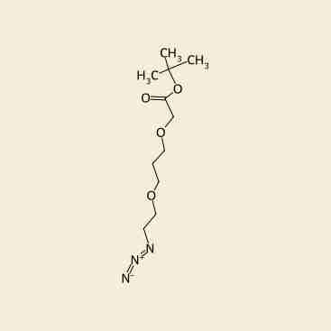 CC(C)(C)OC(=O)COCCCOCCN=[N+]=[N-]